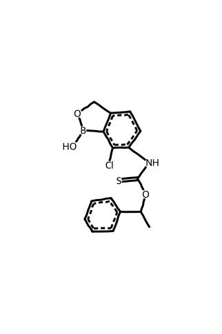 CC(OC(=S)Nc1ccc2c(c1Cl)B(O)OC2)c1ccccc1